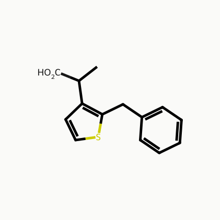 CC(C(=O)O)c1ccsc1Cc1ccccc1